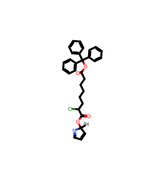 [2H]C1(OC(=O)C(Cl)CCCCCC(=O)OC(c2ccccc2)(c2ccccc2)c2ccccc2)C=CC=N1